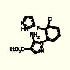 CCOC(=O)c1cnn(-c2cccc(Cl)c2F)c1N.c1cn[nH]c1